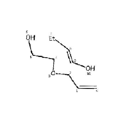 C=CCOCCO.CCC=CO